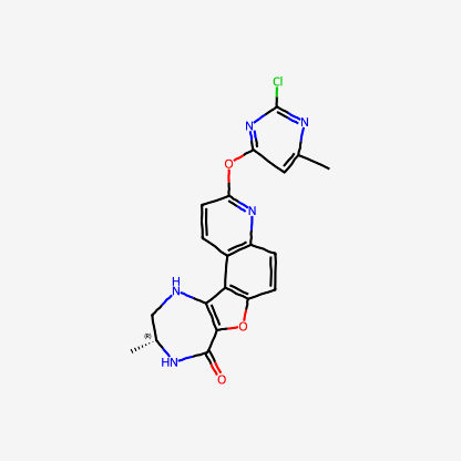 Cc1cc(Oc2ccc3c(ccc4oc5c(c43)NC[C@@H](C)NC5=O)n2)nc(Cl)n1